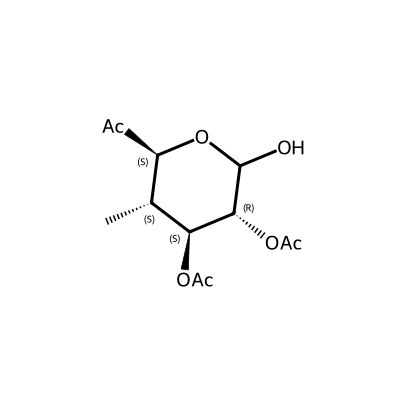 CC(=O)O[C@H]1[C@H](C)[C@@H](C(C)=O)OC(O)[C@@H]1OC(C)=O